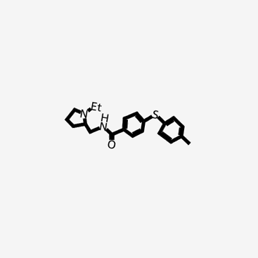 CCN1CCCC1CNC(=O)c1ccc(Sc2ccc(C)cc2)cc1